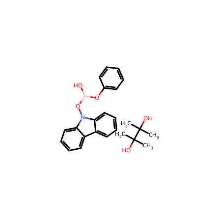 CC(C)(O)C(C)(C)O.OB(Oc1ccccc1)On1c2ccccc2c2ccccc21